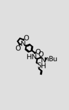 C=CCSCC(NC(=O)c1ccc(N2C(=O)CCC2=O)cc1)C(=O)NCCCC